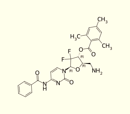 Cc1cc(C)c(C(=O)O[C@@H]2[C@@H](CN)O[C@@H](n3ccc(NC(=O)c4ccccc4)nc3=O)C2(F)F)c(C)c1